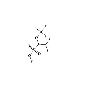 O=S(=O)(OF)C(OC(F)(F)F)C(F)F